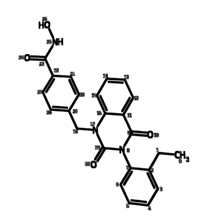 CCc1ccccc1-n1c(=O)c2ccccc2n(Cc2ccc(C(=O)NO)cc2)c1=O